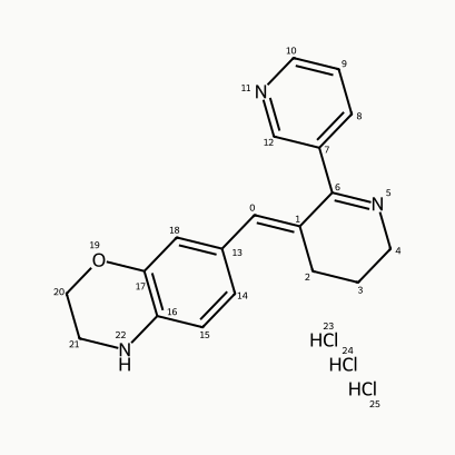 C(=C1CCCN=C1c1cccnc1)c1ccc2c(c1)OCCN2.Cl.Cl.Cl